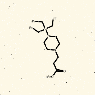 COC(=O)CCN1CCN([Si](CC(C)C)(CC(C)C)CC(C)C)CC1